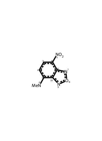 CNc1ccc([N+](=O)[O-])c2nonc12